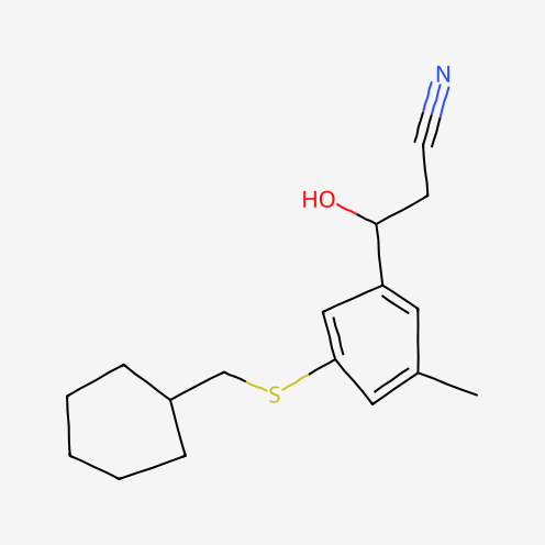 Cc1cc(SCC2CCCCC2)cc(C(O)CC#N)c1